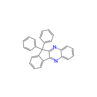 c1ccc(C2(c3ccccc3)c3ccccc3-c3nc4ccccc4nc32)cc1